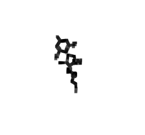 Cc1cc(F)c([C@@H]2CN/C(=N\OCCI)[C@H]2C)c(F)c1